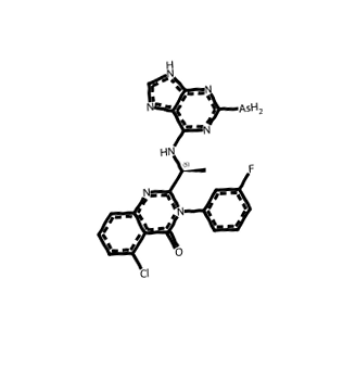 C[C@H](Nc1nc([AsH2])nc2[nH]cnc12)c1nc2cccc(Cl)c2c(=O)n1-c1cccc(F)c1